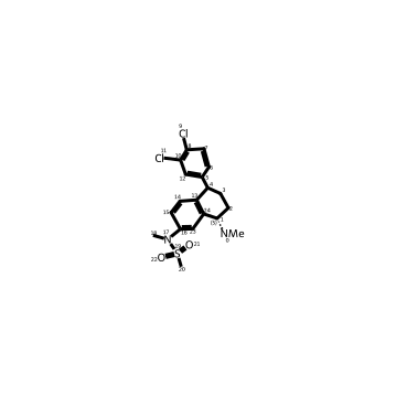 CN[C@H]1CCC(c2ccc(Cl)c(Cl)c2)c2ccc(N(C)S(C)(=O)=O)cc21